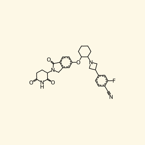 N#Cc1ccc(C2CN(C3CCCCC3Oc3ccc4c(c3)CN(C3CCC(=O)NC3=O)C4=O)C2)cc1F